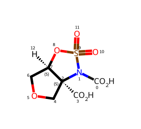 O=C(O)N1[C@@]2(C(=O)O)COC[C@H]2OS1(=O)=O